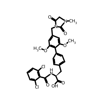 COc1cc(CN2C(=O)CN(C)C2=O)cc(OC)c1-c1ccc(C[C@H](NC(=O)c2c(Cl)cccc2Cl)C(=O)O)cc1